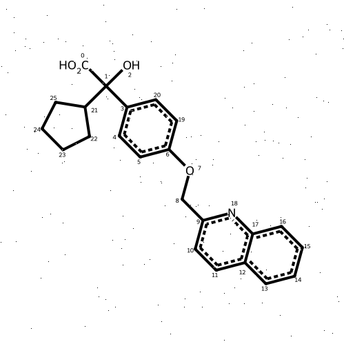 O=C(O)C(O)(c1ccc(OCc2ccc3ccccc3n2)cc1)C1CCCC1